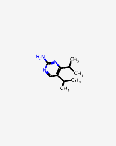 CC(C)c1cnc(N)nc1C(C)C